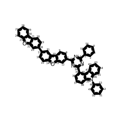 c1ccc(-c2nc(-c3ccc4c(c3)oc3ccc(-c5ccc6c(c5)oc5ccccc56)cc34)nc(-c3cccc4c3c3ccccc3n4-c3ccccc3)n2)cc1